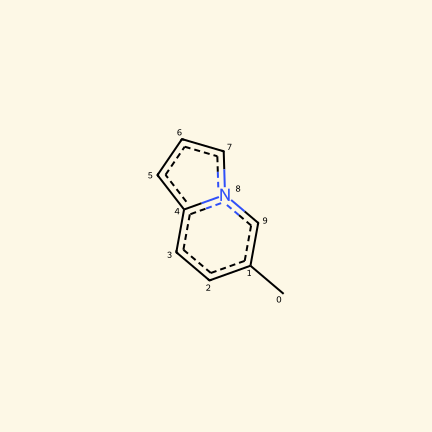 Cc1ccc2cccn2c1